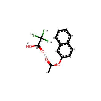 CC(=O)Oc1ccc2ccccc2c1.O=C(O)C(F)(F)F